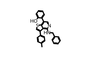 Cc1ccc(-c2csc3c(-c4ccccc4O)cnc(NCc4ccccc4)c23)cc1